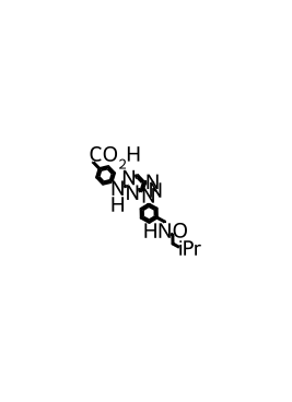 CC(C)CC(=O)NCc1cccc(-n2nnc3cnc(Nc4ccc(CC(=O)O)cc4)nc32)c1